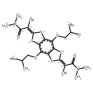 CCCCC(C)COc1c2c(c(OCC(CC)CCCC)c3c1S/C(=C(/C#N)C(=O)N(C)C)S3)S/C(=C(/C#N)C(=O)N(C)C)S2